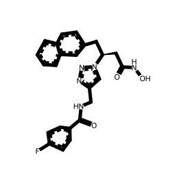 O=C(C[C@H](Cc1ccc2ccccc2c1)n1cc(CNC(=O)c2ccc(F)cc2)nn1)NO